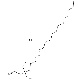 C=CC[N+](CC)(CC)CCCCCCCCCCCCCCCCCC.[Cl-]